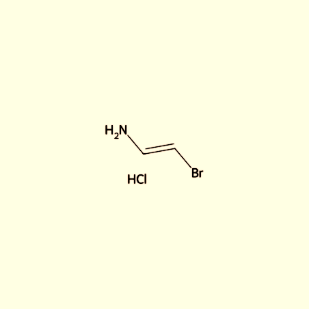 Cl.NC=CBr